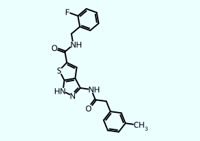 Cc1cccc(CC(=O)Nc2n[nH]c3sc(C(=O)NCc4ccccc4F)cc23)c1